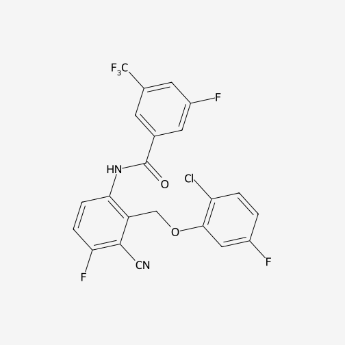 N#Cc1c(F)ccc(NC(=O)c2cc(F)cc(C(F)(F)F)c2)c1COc1cc(F)ccc1Cl